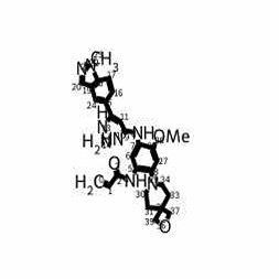 C=CC(=O)Nc1cc(NC(=N)/C=C(\NN)c2ccc3c(cnn3C)c2)c(OC)cc1N1CCC2(CC1)COC2